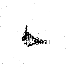 CCCCCC1CC(CC(O)CCCC2CC(CCCC(O)CC)OC(c3ccc(S)cc3)O2)OC(c2ccccc2O)O1